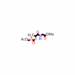 COC(=O)CNC(=O)C(C)SC(=O)OCOC(C)=O